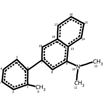 Cc1ccccc1-c1cc(N(C)C)c2ccccc2c1